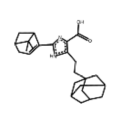 CC1(C)C2CC=C(c3nc(C(=O)O)c(CCC45CC6CC(CC(C6)C4)C5)[nH]3)C1C2